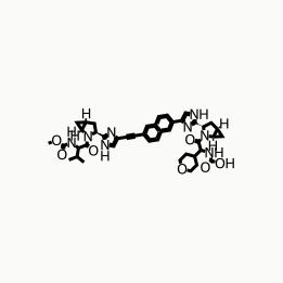 COC(=O)NC(C(=O)N1[C@@H]2C[C@@H]2C[C@H]1c1nc(C#Cc2ccc3cc(-c4c[nH]c([C@@H]5C[C@H]6C[C@H]6N5C(=O)C(NC(=O)O)C5CCOCC5)n4)ccc3c2)c[nH]1)C(C)C